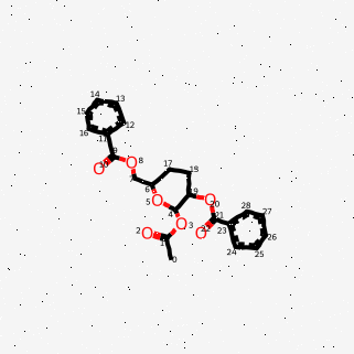 CC(=O)OC1OC(COC(=O)c2ccccc2)CCC1OC(=O)c1ccccc1